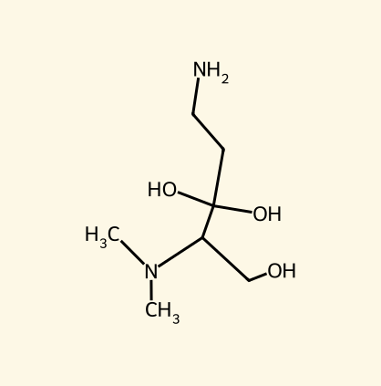 CN(C)C(CO)C(O)(O)CCN